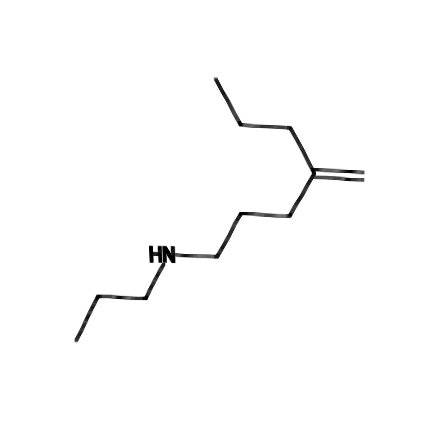 C=C(CCC)CCCNCCC